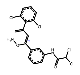 C=C(/C=C(\ON)c1cccc(NC(=O)C(Cl)Cl)c1)c1c(Cl)cccc1Cl